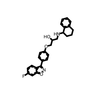 OC(CNC1CCCc2ccccc21)COc1ccc(-c2noc3cc(F)ccc23)cc1